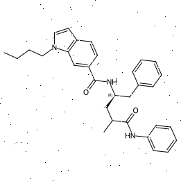 CCCCn1ccc2ccc(C(=O)N[C@H]([CH]C(C)C(=O)Nc3ccccc3)Cc3ccccc3)cc21